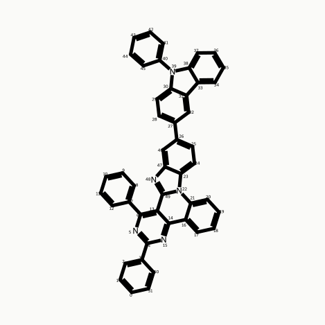 c1ccc(-c2nc(-c3ccccc3)c3c(n2)c2ccccc2n2c4ccc(-c5ccc6c(c5)c5ccccc5n6-c5ccccc5)cc4nc32)cc1